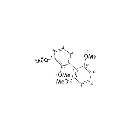 COc1cccc(-c2c(OC)cccc2OC)c1OC